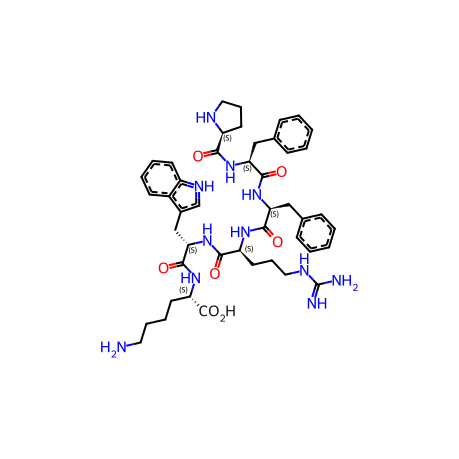 N=C(N)NCCC[C@H](NC(=O)[C@H](Cc1ccccc1)NC(=O)[C@H](Cc1ccccc1)NC(=O)[C@@H]1CCCN1)C(=O)N[C@@H](Cc1c[nH]c2ccccc12)C(=O)N[C@@H](CCCCN)C(=O)O